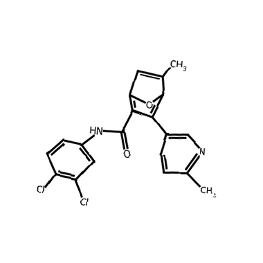 Cc1ccc(-c2c(C(=O)Nc3ccc(Cl)c(Cl)c3)c3cc(C)c2o3)cn1